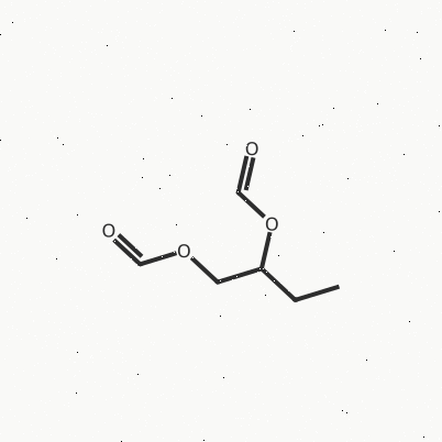 CCC(COC=O)OC=O